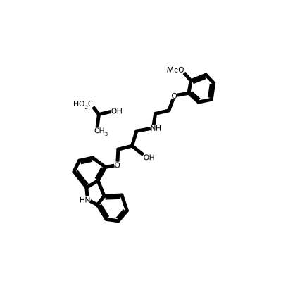 CC(O)C(=O)O.COc1ccccc1OCCNCC(O)COc1cccc2[nH]c3ccccc3c12